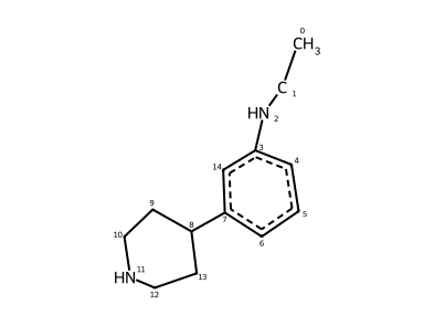 CCNc1cccc(C2CCNCC2)c1